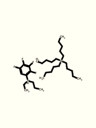 CCCC[CH2][Al-]([CH2]CCCC)([CH2]CCCC)[CH2]CCCC.CCC[PH+](CC)c1cc(F)c(F)c(F)c1F